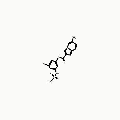 Cc1ccc2cc(C(=O)Nc3cc(Cl)cc(NS(C)(=O)=O)c3)cn2c1